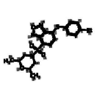 CCc1ccc(Sc2ccc(S(=O)(=O)N3CC(C)OC(C)C3)c3nonc23)cc1